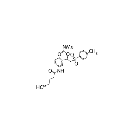 C#CCCCC(=O)Nc1cccc(C(CS(=O)(=O)c2ccc(C)cc2)OC(=O)NC)c1